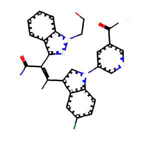 COC(=O)c1cncc(-n2cc(/C(C=O)=C(/C(N)=O)c3nn(CCO)c4ccccc34)c3cc(Cl)ccc32)c1